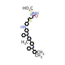 Cc1ccc(/C(=C/c2ccc(-c3ccc(/C(=C/c4ccc(Nc5ccc(-c6ccc(/C=C7\N=C(SCC(=O)O)NC7=O)s6)cc5)cc4)c4ccccc4)cc3C)cc2)c2ccccc2)cc1C